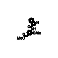 COC(=O)Cc1ccc(NC(=O)C2CNc3ccccc32)c(OC)c1